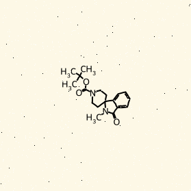 CN1C(=O)c2ccccc2C12CCN(C(=O)OC(C)(C)C)CC2